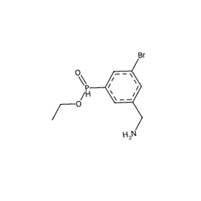 CCO[PH](=O)c1cc(Br)cc(CN)c1